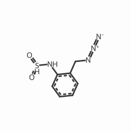 [N-]=[N+]=NCc1ccccc1N[SH](=O)=O